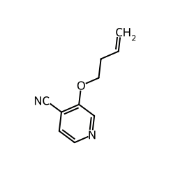 C=CCCOc1cnccc1C#N